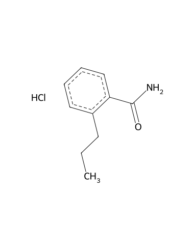 CCCc1ccccc1C(N)=O.Cl